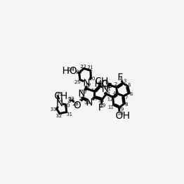 C#Cc1c(F)ccc2cc(O)cc(-c3nc(C)c4c(N5CCC[C@@H](O)C5)nc(OC[C@@H]5CCCN5C)nc4c3F)c12